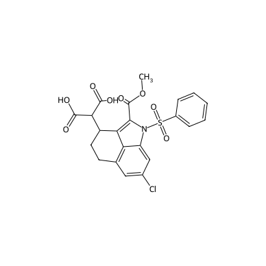 COC(=O)c1c2c3c(cc(Cl)cc3n1S(=O)(=O)c1ccccc1)CCC2C(C(=O)O)C(=O)O